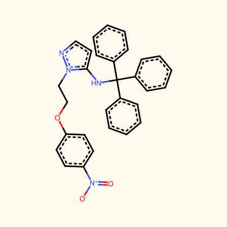 O=[N+]([O-])c1ccc(OCCn2nccc2NC(c2ccccc2)(c2ccccc2)c2ccccc2)cc1